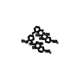 CCOc1ccccc1NC(=O)Nc1ccc([N+](=O)[O-])cc1O.O=C(Nc1ccc([N+](=O)[O-])cc1O)Nc1c(F)cccc1F